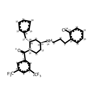 O=C(c1cc(C(F)(F)F)cc(C(F)(F)F)c1)N1CC[C@H](NCCCc2ccccc2Cl)C[C@H]1Cc1ccccc1